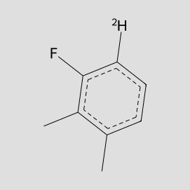 [2H]c1ccc(C)c(C)c1F